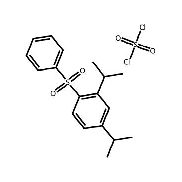 CC(C)c1ccc(S(=O)(=O)c2ccccc2)c(C(C)C)c1.O=S(=O)(Cl)Cl